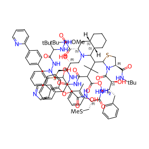 COC(=O)NC(C(=O)NN(Cc1ccc(-c2ccccn2)cc1)CC(O)C(Cc1ccccc1)NC(=O)C(C(=O)ON)C(C)(C)C(C1[C@H]2CCCC[C@H]2C[C@@H](C(=O)NC(C)(C)C)N1C[C@@H](O)[C@H](CSc1ccccc1)NC(=O)c1cccc(O)c1C)C1SC[C@@H](C(=O)NC(C)(C)C)N1C(=O)[C@@H](O)[C@H](Cc1ccccc1)NC(=O)[C@H](CSC)NC(=O)COc1cccc2cnccc12)C(C)(C)C